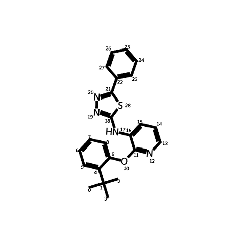 CC(C)(C)c1ccccc1Oc1ncccc1Nc1nnc(-c2ccccc2)s1